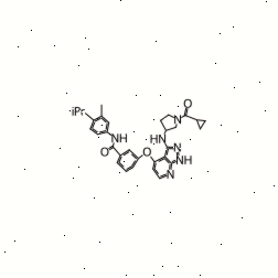 Cc1cc(NC(=O)c2cccc(Oc3ccnc4[nH]nc(NC5CCN(C(=O)C6CC6)C5)c34)c2)ccc1C(C)C